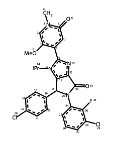 COc1cn(C)c(=O)cc1-c1nc2c(n1C(C)C)C(c1ccc(Cl)cc1)N(c1cccc(Cl)c1F)C2=O